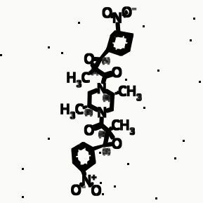 C[C@@H]1CN(C(=O)[C@]2(C)O[C@H]2c2cccc([N+](=O)[O-])c2)[C@H](C)CN1C(=O)[C@]1(C)O[C@H]1c1cccc([N+](=O)[O-])c1